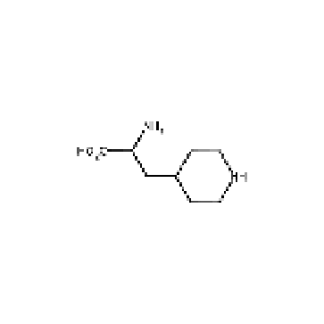 NC(CC1CCNCC1)C(=O)O